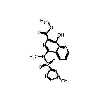 COC(=O)c1nc(N(C)S(=O)(=O)c2cn(C)cn2)c2cccnc2c1O